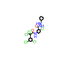 O=C(NNCc1ccccc1)c1cc(NC(=O)C2C(c3cc(Cl)cc(Cl)c3)C2(Cl)Cl)ccc1Cl